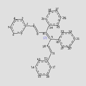 C(=Cc1ccccc1)/C(=C(\C=Cc1ccccc1)c1ccccc1)c1ccccc1